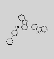 C[Si]1(C)c2ccccc2-c2ccc(-c3ccc(Nc4ccc(C5CCCCC5)cc4)c4c3sc3ccccc34)cc21